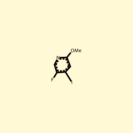 COc1cc(I)c(F)cn1